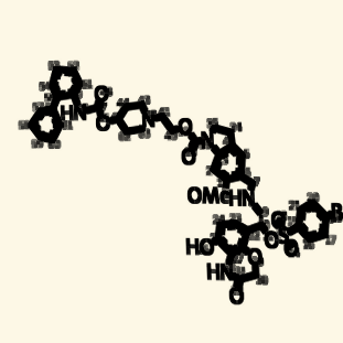 COc1cc2c(cc1CNC[C@H](OS(=O)(=O)c1ccc(Br)cc1)c1ccc(O)c3c1OCC(=O)N3)CCN2C(=O)OCCN1CCC(OC(=O)Nc2ccccc2-c2ccccc2)CC1